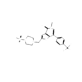 Cn1cc(-c2ccc(C(F)(F)F)cc2)c2sc(CN3CCN(S(C)(=O)=O)CC3)cc2c1=O